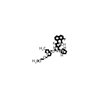 C#Cc1c(F)ccc2cccc(-c3ncc4c(N5C[C@H]6CC[C@@H](C5)N6)nc(OC[C@@]56CC[C@@H](COCCOC)N5CC(=C)C6)nc4c3F)c12